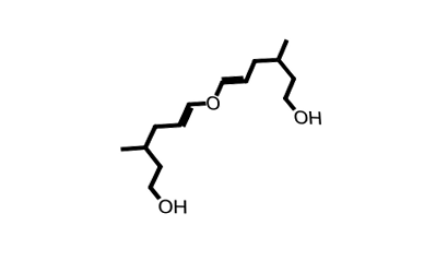 CC(CC=COC=CCC(C)CCO)CCO